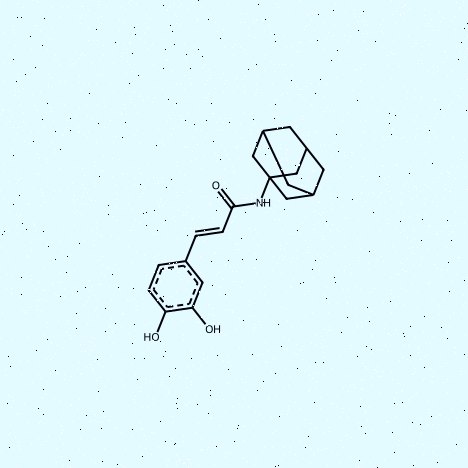 O=C(/C=C/c1ccc(O)c(O)c1)NC12CC3CC(CC(C3)C1)C2